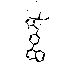 O=C(OI)c1nn[nH]c1Oc1ccc(-c2ccnc3ccccc23)cc1